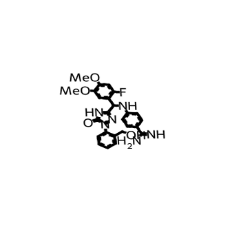 COc1cc(F)c(C(Nc2ccc(C(=N)N)cc2)c2nn(-c3ccccc3CO)c(=O)[nH]2)cc1OC